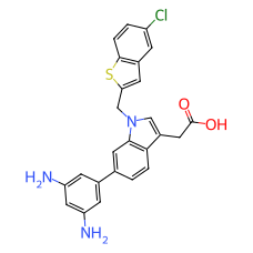 Nc1cc(N)cc(-c2ccc3c(CC(=O)O)cn(Cc4cc5cc(Cl)ccc5s4)c3c2)c1